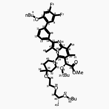 CCCCOc1cc(F)c(F)cc1-c1cccc(-c2nc3c(C)c(C)c([C@H](OC(C)(C)C)C(=O)OC)c(N4CCC(C)(OCCOC[C@@H](C)OCCCC)CC4)n3c2C)c1